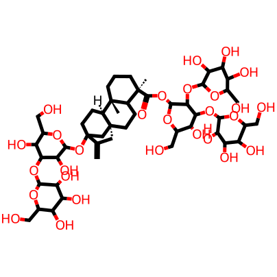 C=C1C[C@@]23CCC4[C@](C)(C(=O)OC5OC(CO)C(O)C(OC6OC(CO)C(O)C(O)C6O)C5OC5OC(CO)C(O)C(O)C5O)CCC[C@@]4(C)[C@@H]2CCC1(OC1OC(CO)C(O)C(OC2OC(CO)C(O)C(O)C2O)C1O)C3